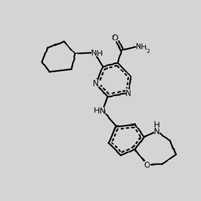 NC(=O)c1cnc(Nc2ccc3c(c2)NCCCO3)nc1NC1CCCCC1